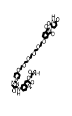 CNC(=O)COc1cc2cc(Nc3nc(N4CCC(OCCOCCOCCOCCOCCOc5ccc6c(c5)C(=O)N(C5CCC(=O)NC5=O)C6=O)CC4)ncc3Cl)ccc2n(C)c1=O